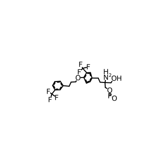 NC(CO)(CCc1ccc(OCCCc2cccc(C(F)(F)F)c2)c(C(F)(F)F)c1)COP=O